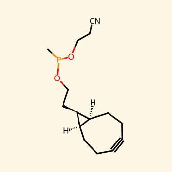 CP(OCCC#N)OCC[C@@H]1[C@@H]2CCC#CCC[C@@H]21